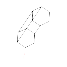 BC1CC2C3CCC4C1C1C2C3C41